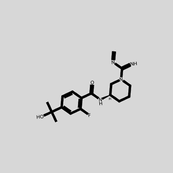 C=NC(=N)N1CCC[C@@H](NC(=O)c2ccc(C(C)(C)O)cc2F)C1